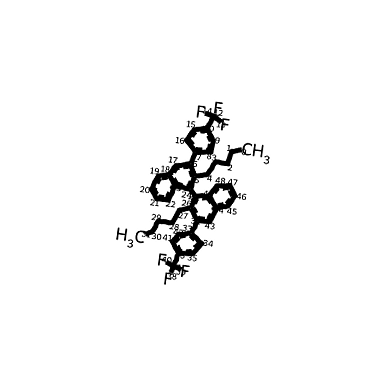 CCCCCc1c(-c2ccc(C(F)(F)F)cc2)cc2ccccc2c1-c1c(CCCCC)c(-c2ccc(C(F)(F)F)cc2)cc2ccccc12